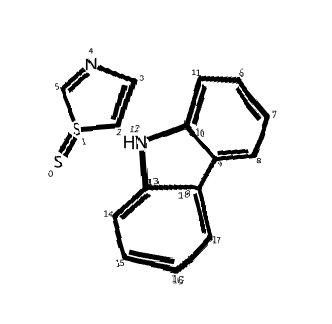 S=S1C=CN=C1.c1ccc2c(c1)[nH]c1ccccc12